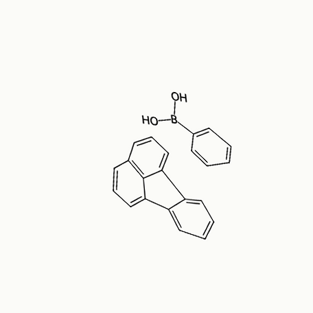 OB(O)c1ccccc1.c1ccc2c(c1)-c1cccc3cccc-2c13